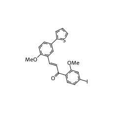 COc1ccc(-c2cccs2)cc1C=CC(=O)c1ccc(I)cc1OC